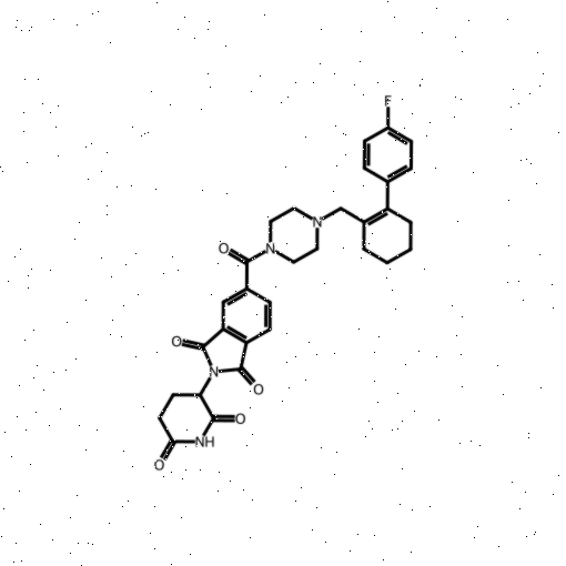 O=C1CCC(N2C(=O)c3ccc(C(=O)N4CCN(CC5=C(c6ccc(F)cc6)CCCC5)CC4)cc3C2=O)C(=O)N1